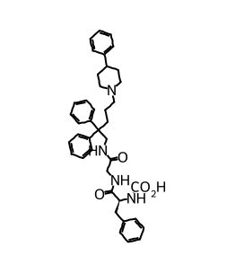 O=C(O)N[C@@H](Cc1ccccc1)C(=O)NCC(=O)NCC(CCCN1CCC(c2ccccc2)CC1)(c1ccccc1)c1ccccc1